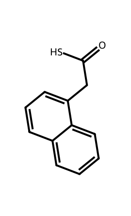 O=C(S)Cc1cccc2ccccc12